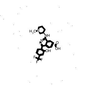 CN1CCC[C@@H](Nc2nnc(-c3ccc(C(F)(F)F)cc3O)c3ccccc23)C1.O=CO